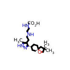 Cc1[nH]nc([C@H]2CC[C@]3(CC2)CC(C)(C)CO3)c1CCNCCNC(=O)O